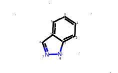 [c]1ccc2c(c1)C=N[N]2